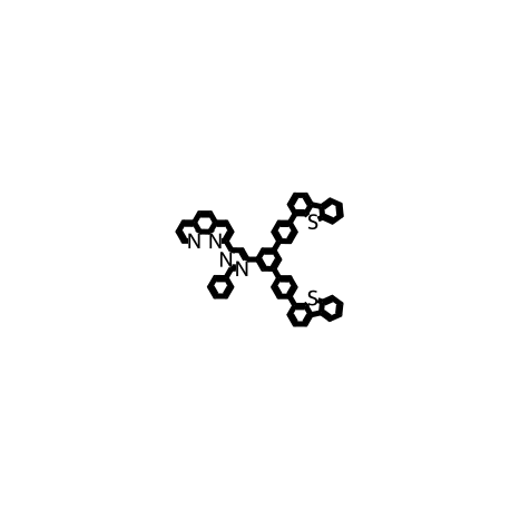 c1ccc(-c2nc(-c3cc(-c4ccc(-c5cccc6c5sc5ccccc56)cc4)cc(-c4ccc(-c5cccc6c5sc5ccccc56)cc4)c3)cc(-c3ccc4ccc5cccnc5c4n3)n2)cc1